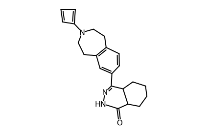 O=C1NN=C(c2ccc3c(c2)CCN(C2=CC=C2)CC3)C2CCCCC12